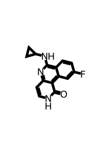 O=c1[nH]ccc2nc(NC3CC3)c3ccc(F)cc3c12